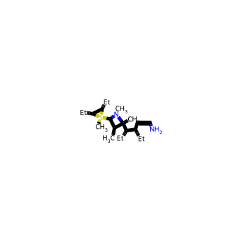 CCC(/C=C\N)C(CC)C1(C)C(C)C(S2(C)C(CC)C2CC)N1C